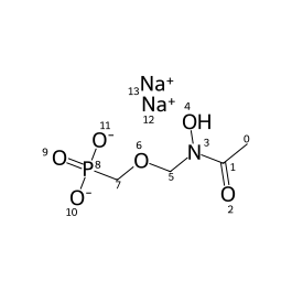 CC(=O)N(O)COCP(=O)([O-])[O-].[Na+].[Na+]